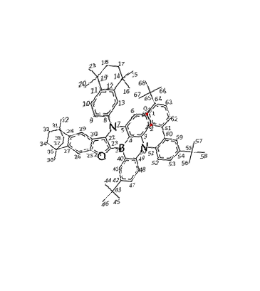 Cc1cc2c3c(c1)N(c1ccc4c(c1)C(C)(C)CCC4(C)C)c1c(oc4cc5c(cc14)C1(C)CCC5(C)CC1)B3c1cc(C(C)(C)C)ccc1N2c1ccc(C(C)(C)C)cc1-c1ccc(C(C)(C)C)cc1